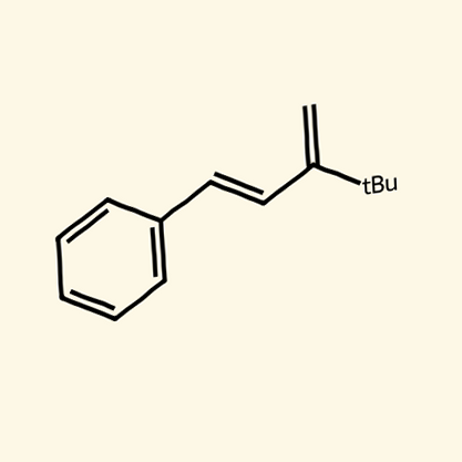 C=C(C=Cc1ccccc1)C(C)(C)C